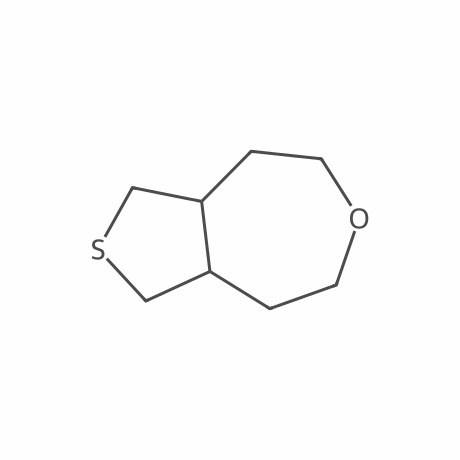 C1CC2CSCC2CCO1